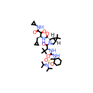 CC(C)N(C(C)C)S(=O)(=O)CC1(NC(=O)N[C@H](C(=O)N2C[C@H]3[C@@H]([C@H]2C(=O)N[C@@H](CC2CC2)C(=O)C(=O)NC2CC2)C3(C)C)C(C)(C)C)CCCCC1